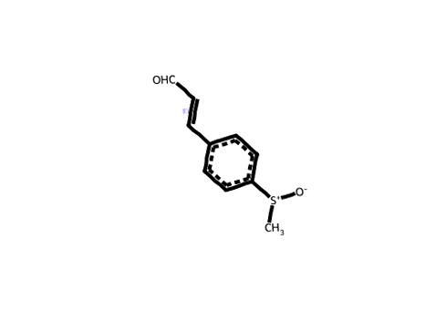 C[S+]([O-])c1ccc(/C=C/C=O)cc1